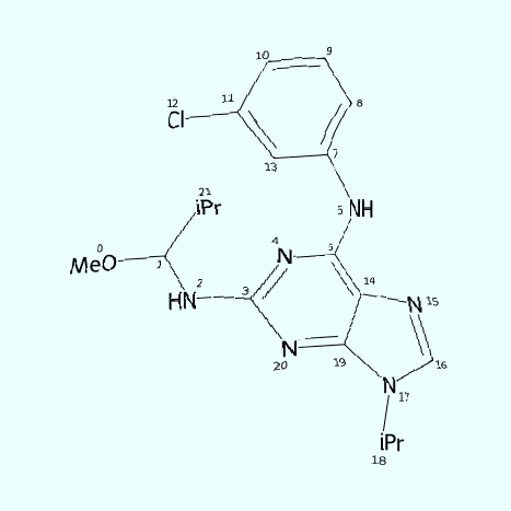 COC(Nc1nc(Nc2cccc(Cl)c2)c2ncn(C(C)C)c2n1)C(C)C